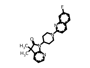 CC1(C)C(=O)N(C2CCN(c3ccc4ccc(F)cc4n3)CC2)c2ncccc21